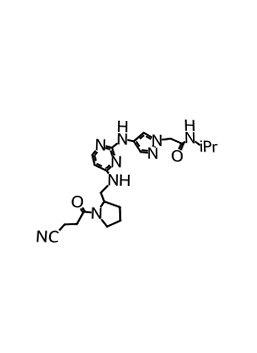 CC(C)NC(=O)Cn1cc(Nc2nccc(NCC3CCCN3C(=O)CCC#N)n2)cn1